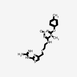 Cc1ccc(OC2=N[S+]([O-])N=C(NCCSCc3csc(NC(=N)N)n3)N2C)cc1